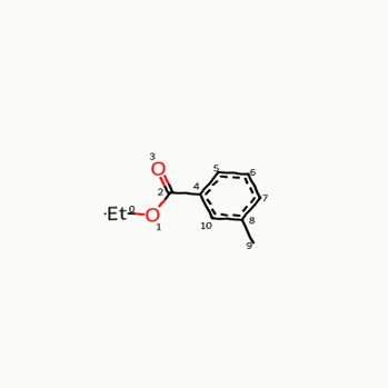 C[CH]OC(=O)c1cccc(C)c1